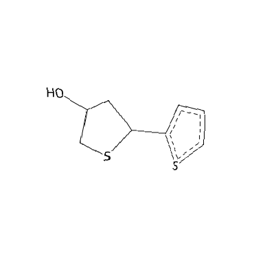 OC1CSC(c2cccs2)C1